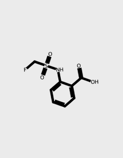 O=C(O)c1ccccc1NS(=O)(=O)CF